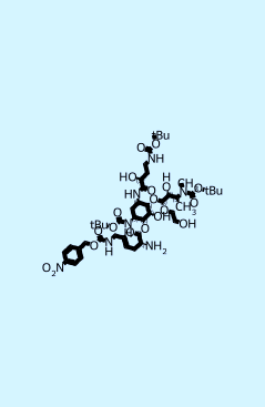 C[C@@H]([C@@H](O)[C@H](OCCO)O[C@@H]1[C@@H](O)[C@H](O[C@H]2OC(CNC(=O)OCc3ccc([N+](=O)[O-])cc3)=CC[C@H]2N)[C@@H](NC(=O)OC(C)(C)C)C[C@H]1NC(=O)[C@@H](O)CCNC(=O)OC(C)(C)C)N(C)C(=O)OC(C)(C)C